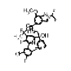 COc1cc(C(=O)NC[C@@](O)(c2ccccc2)c2cc(C(C)(C)F)c(F)c(-c3cc(Cl)c(F)cc3F)n2)cc2cn(C(F)F)nc12